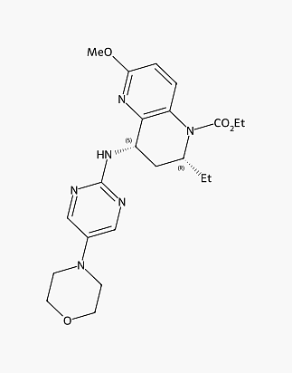 CCOC(=O)N1c2ccc(OC)nc2[C@@H](Nc2ncc(N3CCOCC3)cn2)C[C@H]1CC